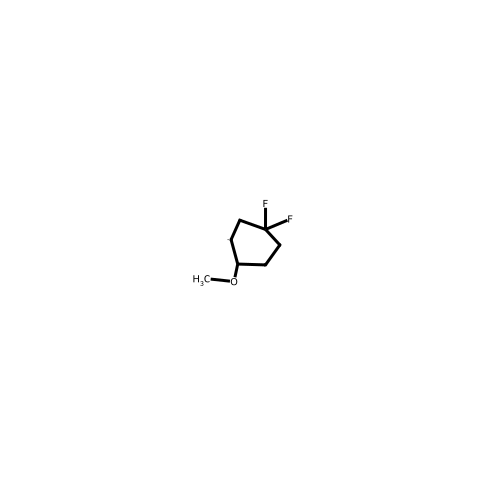 COC1[CH]CC(F)(F)CC1